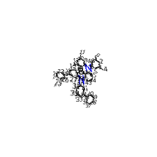 Cc1cc(C)cc(N2c3cc(C)cc(C)c3B3c4ccc(-c5ccccc5)cc4N(c4cccc(-c5ccccc5)c4)c4cccc2c43)c1